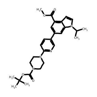 COC(=O)c1cc(-c2ccc(N3CCN(C(=O)OC(C)(C)C)CC3)nc2)cc2c1ccn2C(C)C